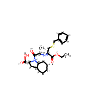 CCOC(=O)C(CSCc1ccccc1)N[C@@H](C)C(=O)N1C2CCCCCC2C[C@H]1C(=O)O